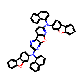 c1ccc2c(N(c3ccc4c(c3)oc3ccccc34)c3ccc4c(n3)oc3nc(N(c5ccc6c(c5)oc5ccccc56)c5cccc6ccccc56)cnc34)cccc2c1